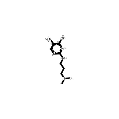 C[S+]([O-])CCCNc1ncc(N)c(O)n1